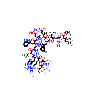 CCC(C)[C@H](NC(=O)[C@H](CS)NC(=O)[C@@H](NC(=O)[C@H](Cc1c[nH]c2ccc(F)cc12)NC(=O)[C@H](CCC(N)=O)NC(=O)[C@H](CC(=O)O)NC(=O)[C@H](Cc1c[nH]c2ccccc12)NC(=O)CNC(=O)[C@H](C)NC(=O)[C@H](Cc1c[nH]cn1)NC(=O)[C@H](CCCN=C(N)N)NC(=O)[C@H](CS)NC(=O)[C@@H](N)[C@@H](C)O)C(C)C)C(=O)OC